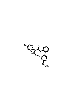 COc1ccc(-c2ccncc2NC(=O)c2c(N)nn3cc(F)cnc23)cn1